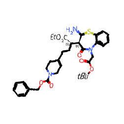 CCOC(=O)[C@@H](CCC1CCN(C(=O)OCc2ccccc2)CC1)[C@@H]1C(=O)N(CC(=O)OC(C)(C)C)c2ccccc2SC1N